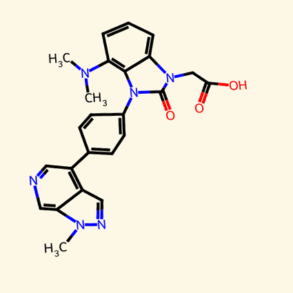 CN(C)c1cccc2c1n(-c1ccc(-c3cncc4c3cnn4C)cc1)c(=O)n2CC(=O)O